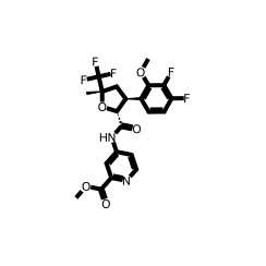 COC(=O)c1cc(NC(=O)[C@@H]2O[C@](C)(C(F)(F)F)C[C@H]2c2ccc(F)c(F)c2OC)ccn1